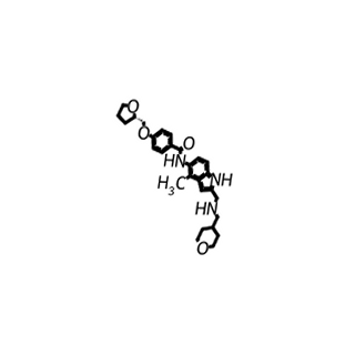 Cc1c(NC(=O)c2ccc(OC[C@@H]3CCCO3)cc2)ccc2[nH]c(CNCC3CCOCC3)cc12